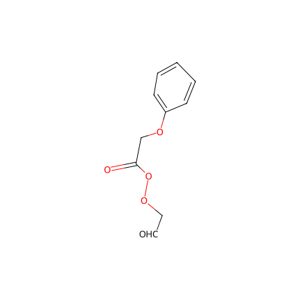 O=CCOOC(=O)COc1ccccc1